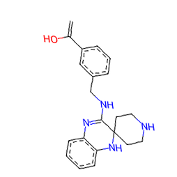 C=C(O)c1cccc(CNC2=Nc3ccccc3NC23CCNCC3)c1